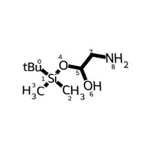 CC(C)(C)[Si](C)(C)OC(O)CN